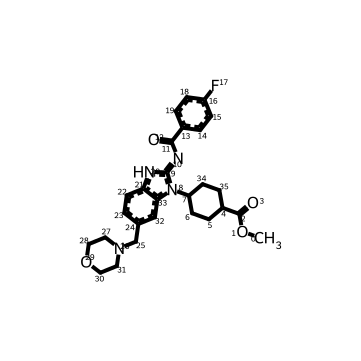 COC(=O)C1CCC(n2/c(=N/C(=O)c3ccc(F)cc3)[nH]c3ccc(CN4CCOCC4)cc32)CC1